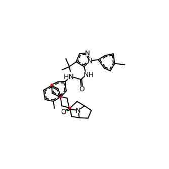 Cc1ccc(-n2ncc(C(C)(C)C)c2NC(=O)Nc2cccc(CC3CC4CCC(C3)N4C(=O)Cc3ccccc3C)c2)cc1